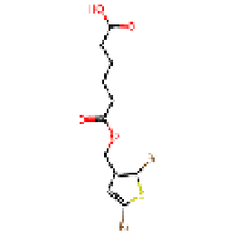 O=C(O)CCCCC(=O)OCc1cc(Br)sc1Br